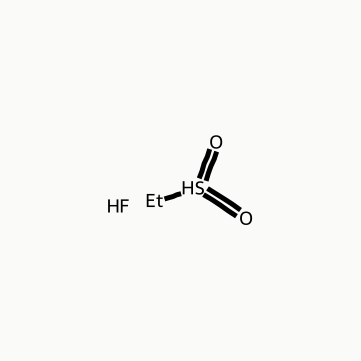 CC[SH](=O)=O.F